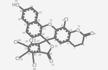 O=C1CCc2cc3c(c(Cl)c2O1)Oc1c(ccc2cc(O)ccc12)C31OC(=O)c2c(Cl)c(Cl)c(Cl)c(Cl)c21